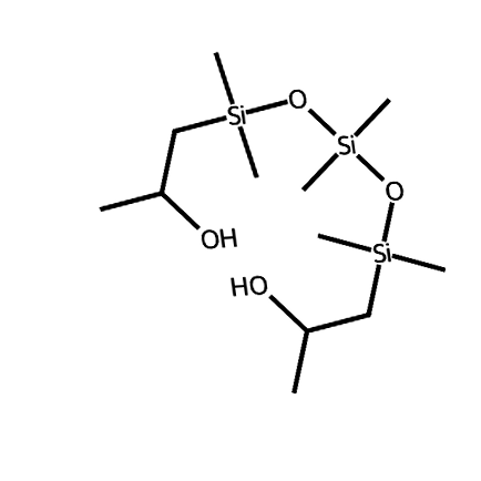 CC(O)C[Si](C)(C)O[Si](C)(C)O[Si](C)(C)CC(C)O